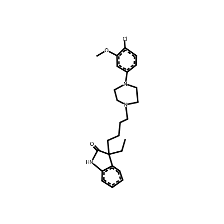 CCC1(CCCCN2CCN(c3ccc(Cl)c(OC)c3)CC2)C(=O)Nc2ccccc21